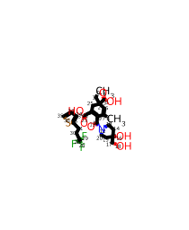 CCC1(C(=O)O)C=C(C)C(C(=O)N2CCC(O)(CO)CC2)=C(C(=O)O)C1.FC(F)(F)CCc1cccs1